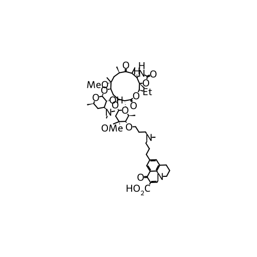 CC[C@H]1OC(=O)[C@H](C)[C@@H](O[C@H]2C[C@@](C)(OC)[C@@H](OCCCN(C)CCCc3cc4c5c(c3)c(=O)c(C(=O)O)cn5CCC4)[C@H](C)O2)[C@H](C)[C@@H](O[C@@H]2O[C@H](C)C[C@H](N(C)C)[C@H]2O)[C@](C)(OC)C[C@@H](C)C(=O)C(C)[C@H]2NC(=O)O[C@@]21C